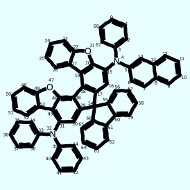 c1ccc(N(c2ccc3ccccc3c2)c2cc3c(c4c2oc2ccccc24)-c2c(cc(N(c4ccccc4)c4ccccc4)c4c2oc2ccccc24)C32c3ccccc3-c3ccccc32)cc1